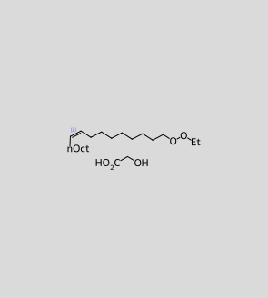 CCCCCCCC/C=C\CCCCCCCCOOCC.O=C(O)CO